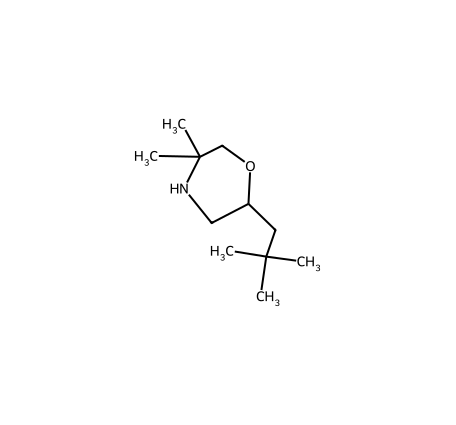 CC(C)(C)CC1CNC(C)(C)CO1